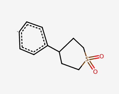 O=S1(=O)CCC(c2cc[c]cc2)CC1